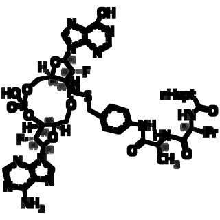 CCCCCCCC(=O)N[C@H](C(=O)N[C@@H](C)C(=O)Nc1ccc(CSP2(=O)OC[C@H]3O[C@@H](n4cnc5c(N)ncnc54)[C@H](F)[C@@H]3OP(=O)(O)OC[C@H]3O[C@@H](n4cnc5c(O)ncnc54)[C@H](F)[C@@H]32)cc1)C(C)C